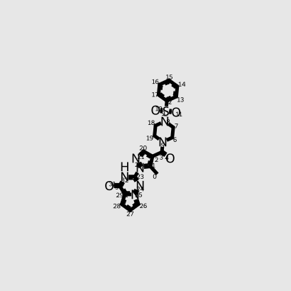 Cc1c(C(=O)N2CCN(S(=O)(=O)c3ccccc3)CC2)cnn1-c1nn2cccc2c(=O)[nH]1